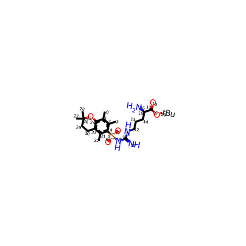 Cc1c(C)c(S(=O)(=O)NC(=N)NCCCC(N)C(=O)OC(C)(C)C)c(C)c2c1OC(C)(C)CC2